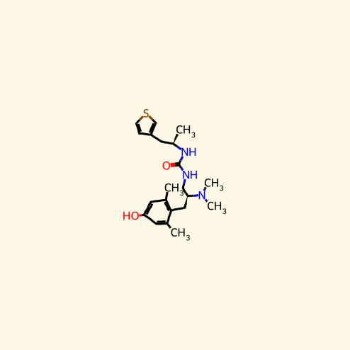 Cc1cc(O)cc(C)c1C[C@@H](CNC(=O)N[C@H](C)Cc1ccsc1)N(C)C